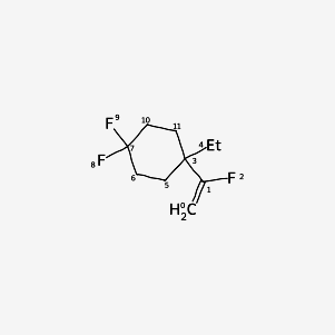 C=C(F)C1(CC)CCC(F)(F)CC1